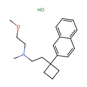 COCCN(C)CCC1(c2ccc3ccccc3c2)CCC1.Cl